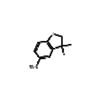 CNc1ccc2c(c1)C(C)(C)CO2